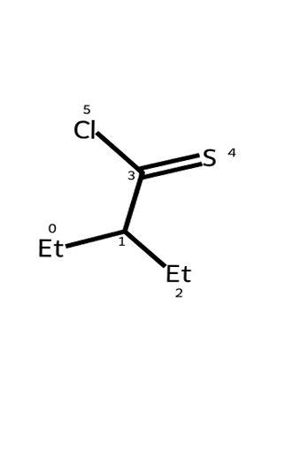 CCC(CC)C(=S)Cl